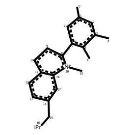 Cc1cc(C)c(C)c(-c2ccc3ccc(CC(C)C)cc3[n+]2C)c1